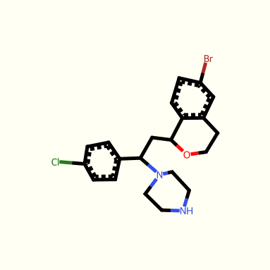 Clc1ccc(C(CC2OCCc3cc(Br)ccc32)N2CCNCC2)cc1